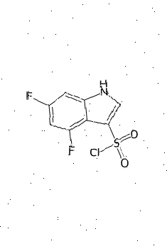 O=S(=O)(Cl)c1c[nH]c2cc(F)cc(F)c12